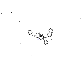 N/C(=C\N(N)Cc1ccccc1)CN1C(=O)[C@H](c2ccc3ccccc3c2)c2ccccc21